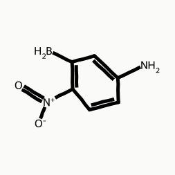 Bc1cc(N)ccc1[N+](=O)[O-]